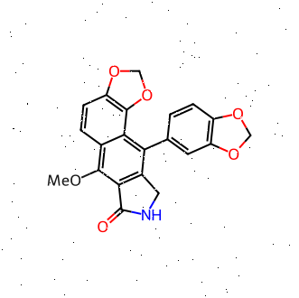 COc1c2c(c(-c3ccc4c(c3)OCO4)c3c4c(ccc13)OCO4)CNC2=O